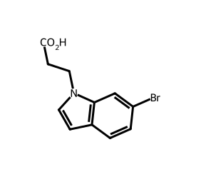 O=C(O)CCn1ccc2ccc(Br)cc21